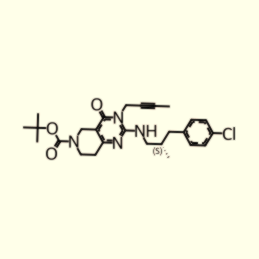 CC#CCn1c(NC[C@@H](C)Cc2ccc(Cl)cc2)nc2c(c1=O)CN(C(=O)OC(C)(C)C)CC2